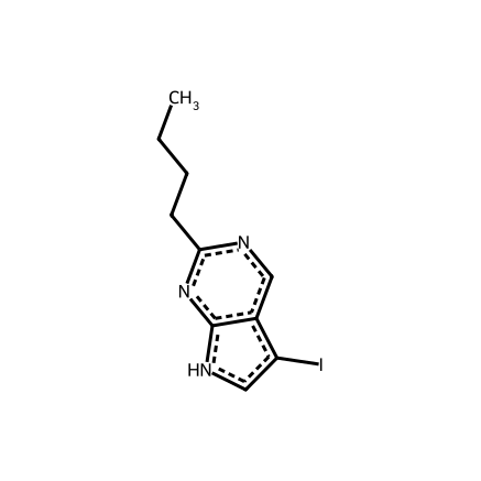 CCCCc1ncc2c(I)c[nH]c2n1